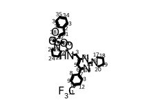 O=C(NCc1cc(-c2ccc(C(F)(F)F)cc2)nc(N2CCCC2)n1)[C@@H]1CCCN1S(=O)(=O)c1cc2ccccc2o1